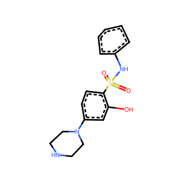 O=S(=O)(Nc1ccccc1)c1ccc(N2CCNCC2)cc1O